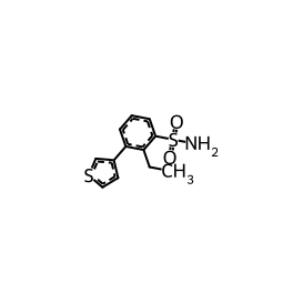 CCc1c(-c2ccsc2)cccc1S(N)(=O)=O